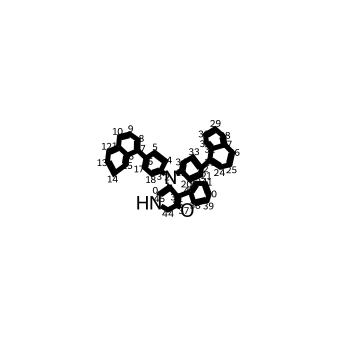 C1=C(N(c2ccc(-c3cccc4ccccc34)cc2)c2ccc(-c3cccc4ccccc34)cc2)c2c(oc3ccccc23)CN1